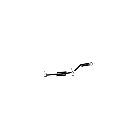 O=CNC#CCl